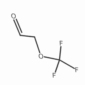 O=CCOC(F)(F)F